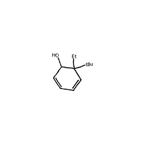 CCC1(C(C)(C)C)C=CC=CC1O